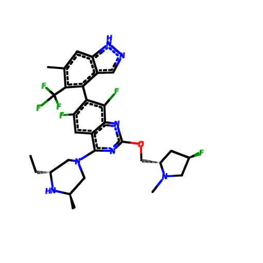 CC[C@@H]1CN(c2nc(OC[C@@H]3C[C@@H](F)CN3C)nc3c(F)c(-c4c(C(F)(F)F)c(C)cc5[nH]ncc45)c(F)cc23)C[C@@H](C)N1